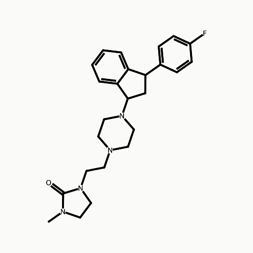 CN1CCN(CCN2CCN(C3CC(c4ccc(F)cc4)c4ccccc43)CC2)C1=O